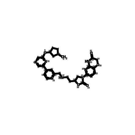 CN1CCC(Oc2cncc(-c3ccnc(CNCCC4CN(c5ccc6c(n5)NC(=O)CO6)C(=O)O4)c3)n2)C1